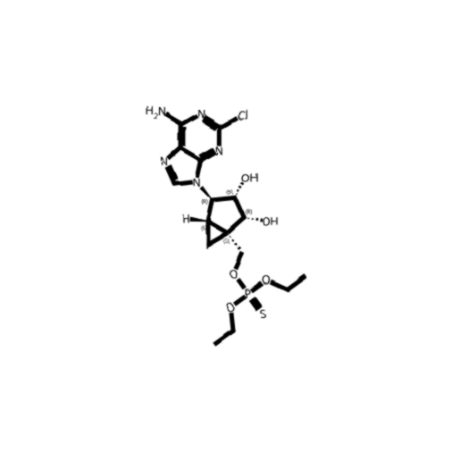 CCOP(=S)(OCC)OC[C@]12C[C@@H]1[C@@H](n1cnc3c(N)nc(Cl)nc31)[C@H](O)[C@@H]2O